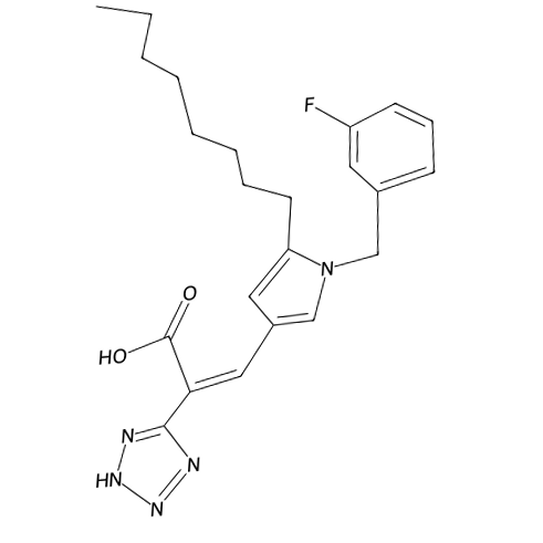 CCCCCCCCc1cc(C=C(C(=O)O)c2nn[nH]n2)cn1Cc1cccc(F)c1